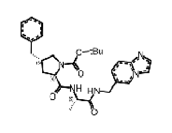 C[C@H](NC(=O)[C@H]1C[C@H](Cc2ccccc2)CN1C(=O)OC(C)(C)C)C(=O)NCc1ccc2nccn2c1